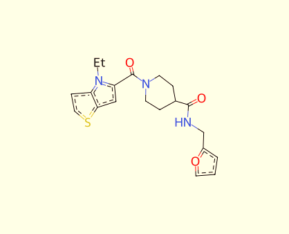 CCn1c(C(=O)N2CCC(C(=O)NCc3ccco3)CC2)cc2sccc21